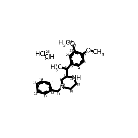 COc1ccc(C(C)C2CN(Cc3ccccc3)CCN2)cc1OC.Cl.Cl